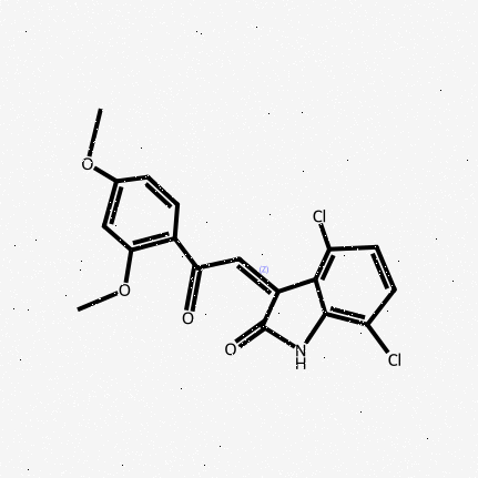 COc1ccc(C(=O)/C=C2\C(=O)Nc3c(Cl)ccc(Cl)c32)c(OC)c1